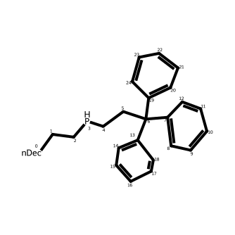 CCCCCCCCCCCCPCCC(c1ccccc1)(c1ccccc1)c1ccccc1